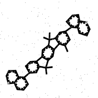 Cc1cc(-c2cccc3ncccc23)cc2c1-c1cc3c(cc1C2(C)C)-c1ccc(-c2cccc4ncccc24)cc1C3(C)C